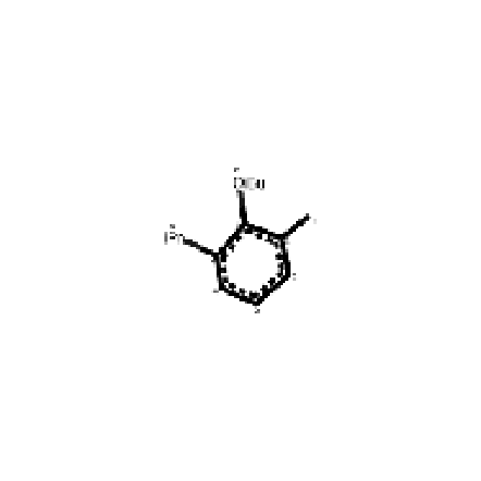 Cc1cccc(C(C)C)c1OCC(C)C